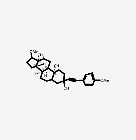 COc1ccc(C#CC2(O)CC[C@@]3(C)C(CC[C@@H]4[C@H]3CC[C@]3(C)C(OC)CC[C@@H]43)C2)cc1